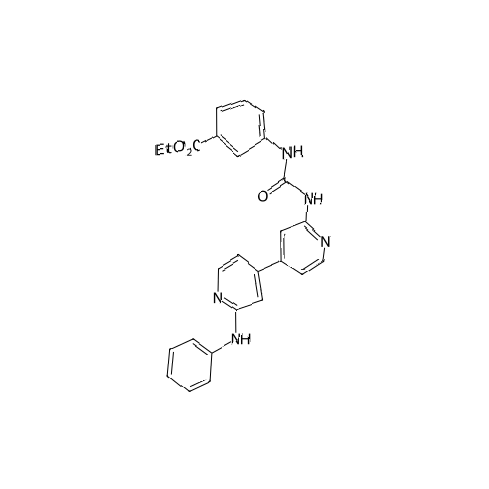 CCOC(=O)c1cccc(NC(=O)Nc2cc(-c3ccnc(Nc4ccccc4)c3)ccn2)c1